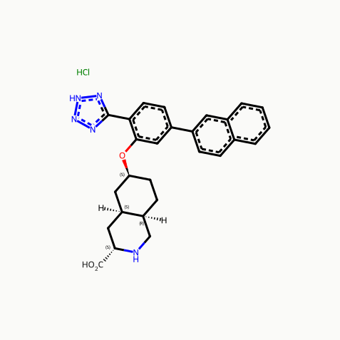 Cl.O=C(O)[C@@H]1C[C@H]2C[C@@H](Oc3cc(-c4ccc5ccccc5c4)ccc3-c3nn[nH]n3)CC[C@H]2CN1